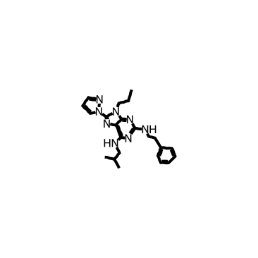 CCCn1c(-n2cccn2)nc2c(NCC(C)C)nc(NCCc3ccccc3)nc21